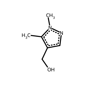 Cc1c(CO)cnn1C